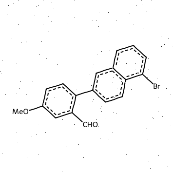 COc1ccc(-c2ccc3c(Br)cccc3c2)c(C=O)c1